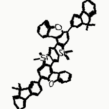 CC1(C)c2ccccc2-c2ccc(-c3cc4c(c5c3oc3ccccc35)-c3cc5c(cc3[Si]4(C)C)-c3c(cc(-c4ccc6c(c4)C(C)(C)c4ccccc4-6)c4oc6ccccc6c34)[Si]5(C)C)cc21